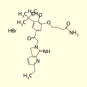 Br.CCc1ccc2c(n1)C(=N)N(CC(=O)c1cc(OCCCC(N)=O)c(OC)c(C(C)(C)C)c1)C2